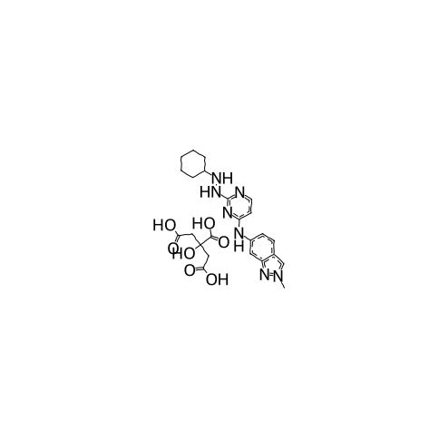 Cn1cc2ccc(Nc3ccnc(NNC4CCCCC4)n3)cc2n1.O=C(O)CC(O)(CC(=O)O)C(=O)O